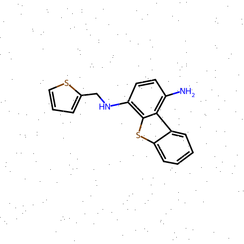 Nc1ccc(NCc2cccs2)c2sc3ccccc3c12